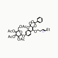 CC/C=C/CCOc1c(OC(=O)c2ccccc2)c(=O)oc2cc(O[C@H]3O[C@H](COC(C)=O)[C@@H](OC(C)=O)[C@H](OC(C)=O)[C@@H]3OC(C)=O)ccc12